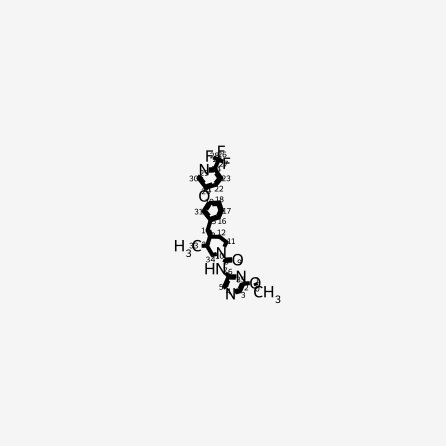 COc1cncc(NC(=O)N2CCC(=Cc3cccc(Oc4ccc(C(F)(F)F)nc4)c3)C(C)C2)n1